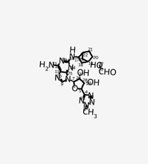 Cn1nnc(C2O[C@@H](n3cnc4c(N)nc(NC5CC6CCC5C6)nc43)[C@H](O)[C@@H]2O)n1.O=CO